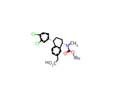 CN(C(=O)OC(C)(C)C)[C@H]1CC[C@@H](c2ccc(Cl)c(Cl)c2)c2ccc(CC(=O)O)cc21